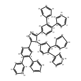 c1ccc(-c2cc(-c3nnc(-c4ccc(-c5cccnc5)c(-c5ccccc5)c4)n3-c3ccc(-c4cccnc4)c(-c4ccccc4)c3)ccc2-c2cccnc2)cc1